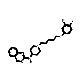 CN(C1=Nc2ccccc2CS1)C1CCN(CCCCCOc2ccc(F)c(F)c2)CC1